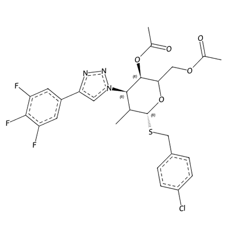 CC(=O)OCC1O[C@H](SCc2ccc(Cl)cc2)C(C)[C@@H](n2cc(-c3cc(F)c(F)c(F)c3)nn2)[C@H]1OC(C)=O